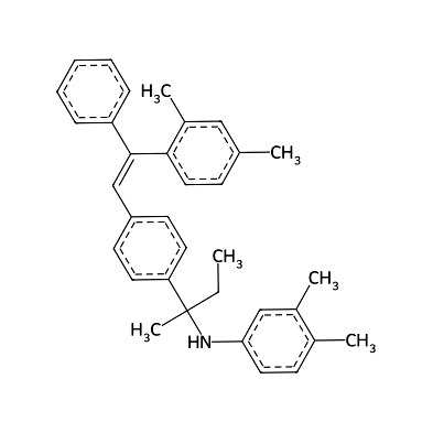 CCC(C)(Nc1ccc(C)c(C)c1)c1ccc(C=C(c2ccccc2)c2ccc(C)cc2C)cc1